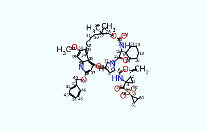 C=C[C@@H]1C[C@]1(NC(=O)[C@@H]1C[C@@H]2CN1C(=O)[C@H](C1CCCCC1)NC(=O)OCC(C)(C)CCCc1cc3c(cc(OCc4ccccc4)nc3cc1OC)O2)C(=O)S(=O)(=O)C1CC1